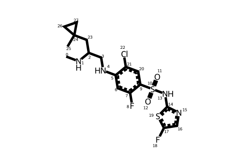 CNC(CNc1cc(F)c(S(=O)(=O)Nc2ncc(F)s2)cc1Cl)CC1(C)CC1